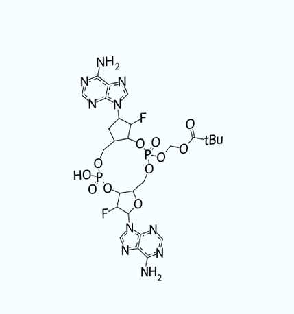 CC(C)(C)C(=O)OCOP1(=O)OCC2OC(n3cnc4c(N)ncnc43)C(F)C2OP(=O)(O)OCC2CC(n3cnc4c(N)ncnc43)C(F)C2O1